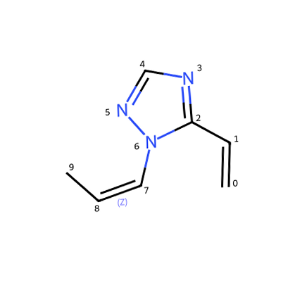 C=Cc1ncnn1/C=C\C